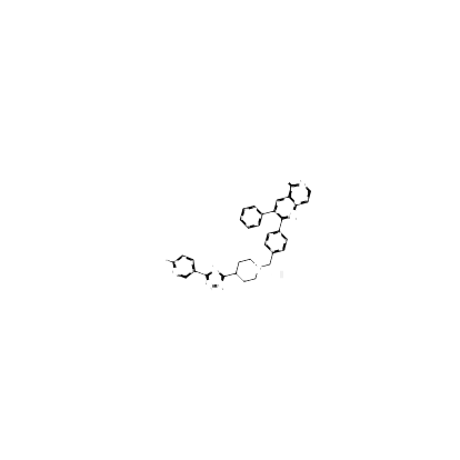 Cl.O=c1[nH]ccc2nc(-c3ccc(CN4CCC(c5nnc(-c6ccc(O)nc6)[nH]5)CC4)cc3)c(-c3ccccc3)cc12